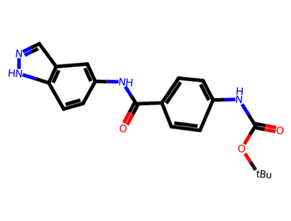 CC(C)(C)OC(=O)Nc1ccc(C(=O)Nc2ccc3[nH]ncc3c2)cc1